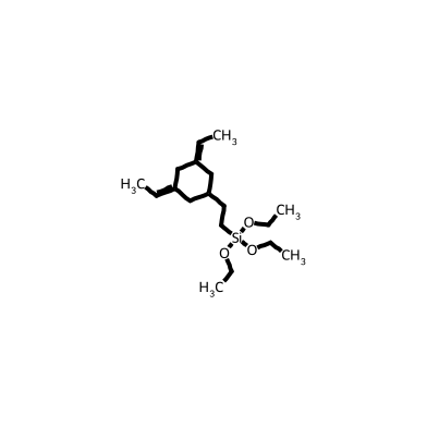 CC=C1CC(=CC)CC(CC[Si](OCC)(OCC)OCC)C1